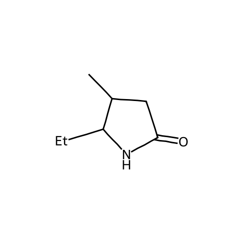 CCC1NC(=O)CC1C